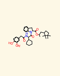 CC(CC1CCC(C)(C)C1(C)C)OC(=O)C1Cc2ccccc2N1C(=O)C(NC(=O)Cc1ccc(O)c(O)c1)C1CCCCC1